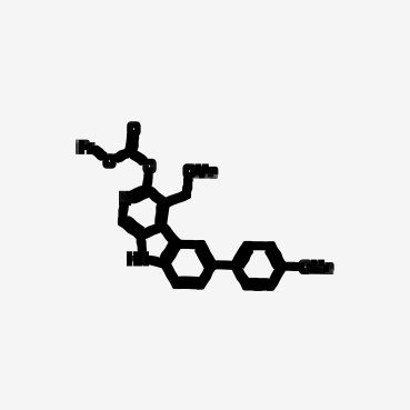 COCc1c(OC(=O)OC(C)C)ncc2[nH]c3ccc(-c4ccc(OC)cc4)cc3c12